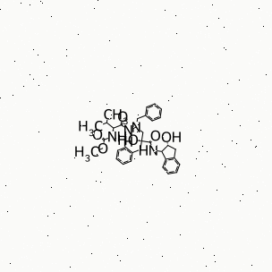 COC(=O)N[C@H](C(=O)NN(Cc1ccccc1)C[C@@](O)(Cc1ccccc1)C(=O)NC1c2ccccc2C[C@H]1O)C(C)C